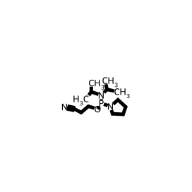 CC(C)N(C(C)C)P(OCCC#N)N1CCCC1